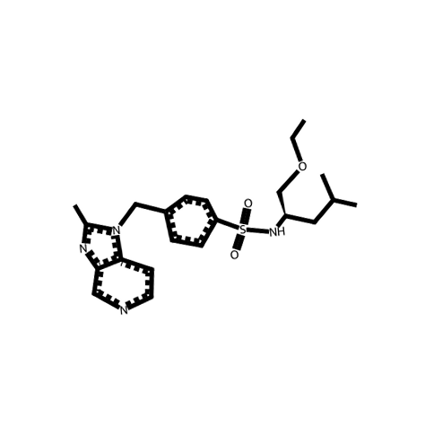 CCOC[C@@H](CC(C)C)NS(=O)(=O)c1ccc(Cn2c(C)nc3cnccc32)cc1